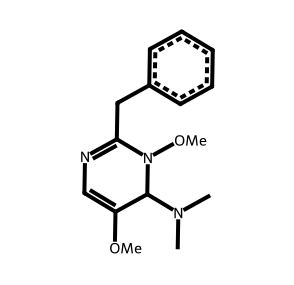 COC1=CN=C(Cc2ccccc2)N(OC)C1N(C)C